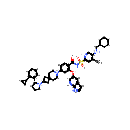 O=C(NS(=O)(=O)c1cc([N+](=O)[O-])c(NCC2CCCCC2)cn1)c1ccc(N2CCC3(CC2)CC(N2CCC[C@H]2c2ccccc2C2CC2)C3)cc1Oc1cnc2[nH]ccc2c1